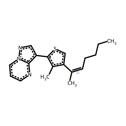 CCCC/C=C(/C)c1csc(-c2cnn3cccnc23)c1C